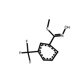 CSC(=NO)c1cccc(C(F)(F)F)c1